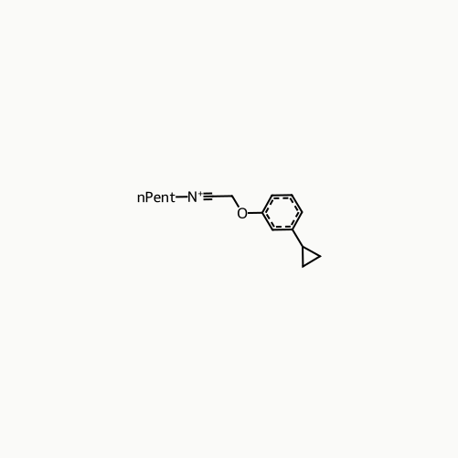 CCCCC[N+]#CCOc1cccc(C2CC2)c1